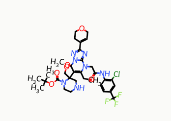 CCc1c(C2(COC)CNCCN2C(=O)OC(C)(C)C)c(=O)n2nc(C3=CCOCC3)nc2n1CC(=O)Nc1ccc(C(F)(F)F)cc1Cl